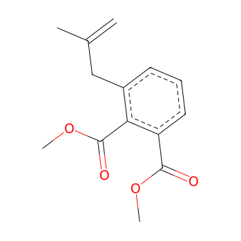 C=C(C)Cc1cccc(C(=O)OC)c1C(=O)OC